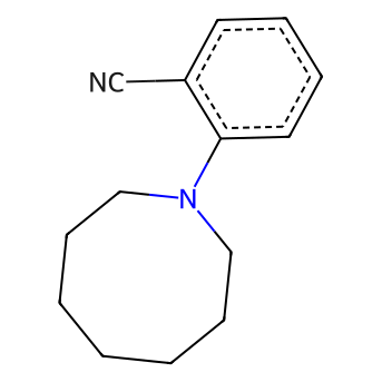 N#Cc1ccccc1N1CCCCCCC1